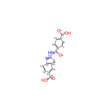 O=C(O)c1ccc(C(=O)Nc2nc3ccc(C(=O)O)cc3s2)cc1